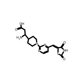 NC(CC(=O)O)C1CCN(c2nccc(/C=C3\SC(=O)NC3=O)n2)CC1